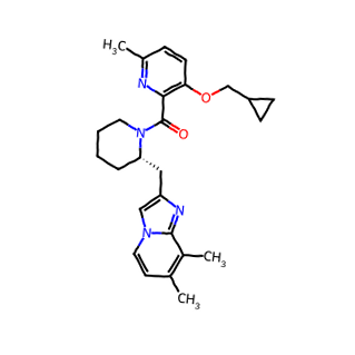 Cc1ccc(OCC2CC2)c(C(=O)N2CCCC[C@H]2Cc2cn3ccc(C)c(C)c3n2)n1